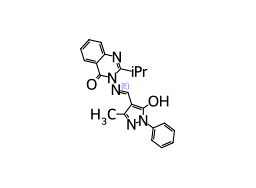 Cc1nn(-c2ccccc2)c(O)c1/C=N/n1c(C(C)C)nc2ccccc2c1=O